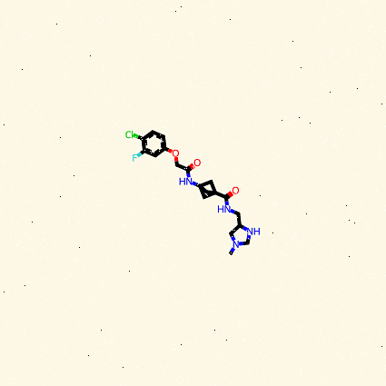 CN1CNC(CNC(=O)C23CC(NC(=O)COc4ccc(Cl)c(F)c4)(C2)C3)C1